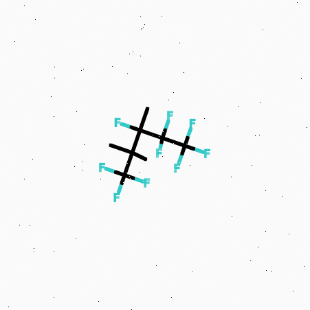 CC(C)(C(F)(F)F)C(C)(F)C(F)(F)C(F)(F)F